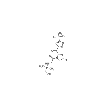 CCC(C)(C)c1nnc(C(=O)C2C[C@H](F)CN2C(=O)CNC(C)(C)CO)o1